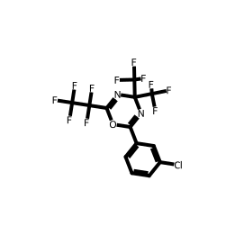 FC(F)(F)C(F)(F)C1=NC(C(F)(F)F)(C(F)(F)F)N=C(c2cccc(Cl)c2)O1